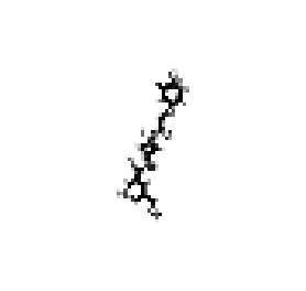 COCC1CNCC(C(=O)NC23CC(NC(=O)COc4ccc(Cl)c(F)c4)(C2)C3)C1